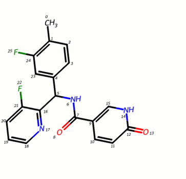 Cc1ccc(C(NC(=O)c2ccc(=O)[nH]c2)c2ncccc2F)cc1F